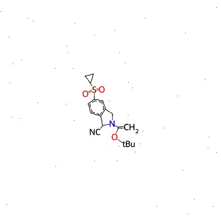 C=C(OC(C)(C)C)N1Cc2cc(S(=O)(=O)C3CC3)ccc2C1C#N